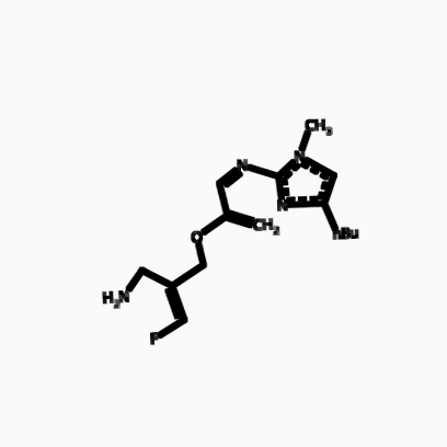 C=C(/C=N\c1nc(CCCC)cn1C)OC/C(=C/F)CN